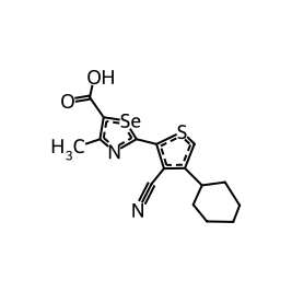 Cc1nc(-c2scc(C3CCCCC3)c2C#N)[se]c1C(=O)O